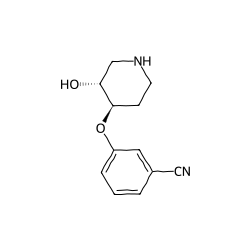 N#Cc1cccc(O[C@@H]2CCNC[C@H]2O)c1